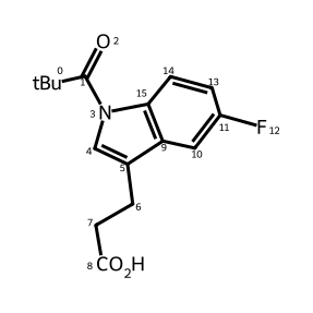 CC(C)(C)C(=O)n1cc(CCC(=O)O)c2cc(F)ccc21